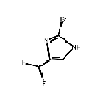 FC(F)c1c[nH]c(Br)n1